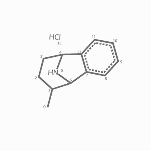 CC1CCC2NC1c1ccccc12.Cl